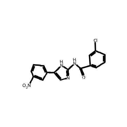 O=C(Nc1ncc(-c2cccc([N+](=O)[O-])c2)[nH]1)c1cccc(Cl)c1